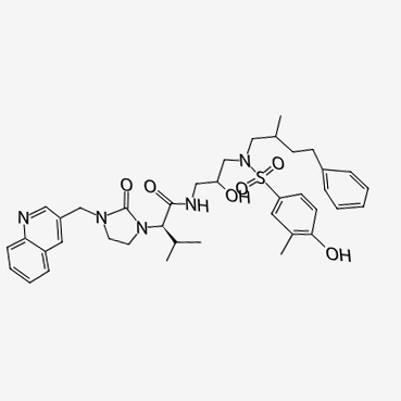 Cc1cc(S(=O)(=O)N(CC(C)CCc2ccccc2)CC(O)CNC(=O)[C@@H](C(C)C)N2CCN(Cc3cnc4ccccc4c3)C2=O)ccc1O